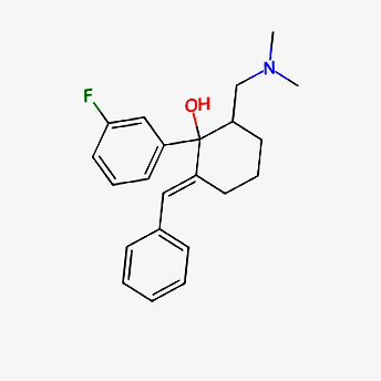 CN(C)CC1CCCC(=Cc2ccccc2)C1(O)c1cccc(F)c1